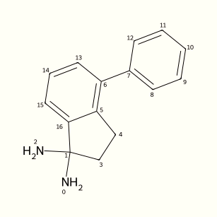 NC1(N)CCc2c(-c3ccccc3)cccc21